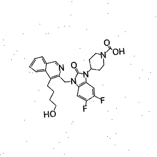 O=C(O)N1CCC(n2c(=O)n(Cc3ncc4ccccc4c3CCCCO)c3cc(F)c(F)cc32)CC1